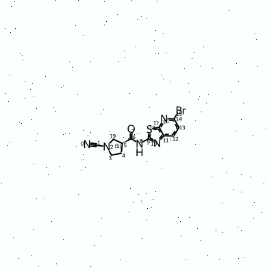 N#CN1CC[C@H](C(=O)Nc2nc3ccc(Br)nc3s2)C1